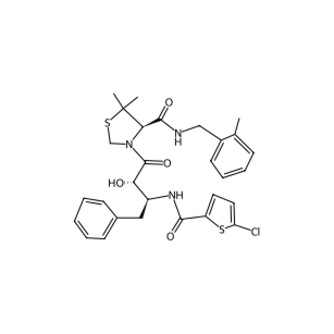 Cc1ccccc1CNC(=O)[C@H]1N(C(=O)[C@@H](O)[C@H](Cc2ccccc2)NC(=O)c2ccc(Cl)s2)CSC1(C)C